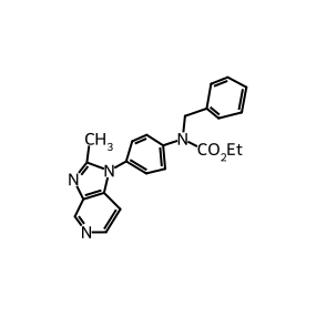 CCOC(=O)N(Cc1ccccc1)c1ccc(-n2c(C)nc3cnccc32)cc1